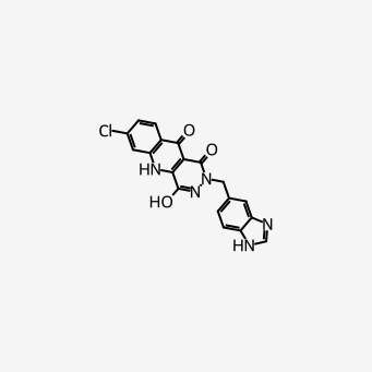 O=c1c2ccc(Cl)cc2[nH]c2c(O)nn(Cc3ccc4[nH]cnc4c3)c(=O)c12